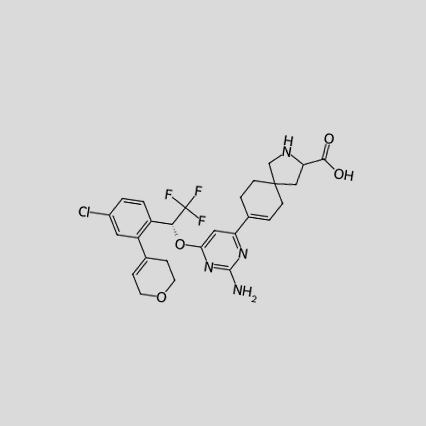 Nc1nc(O[C@H](c2ccc(Cl)cc2C2=CCOCC2)C(F)(F)F)cc(C2=CCC3(CC2)CNC(C(=O)O)C3)n1